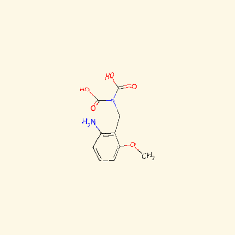 COc1cccc(N)c1CN(C(=O)O)C(=O)O